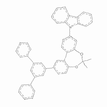 CC1(C)Oc2cc(-n3c4ccccc4c4ccccc43)ccc2-c2cc(-c3cc(-c4ccccc4)cc(-c4ccccc4)c3)ccc2O1